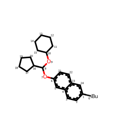 CCC(C)c1ccc2cc(OC(OC3CCCCC3)C3CCCC3)ccc2c1